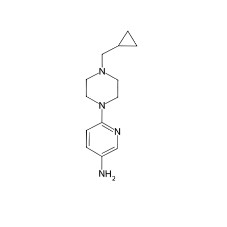 Nc1ccc(N2CCN(CC3CC3)CC2)nc1